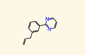 C=CCc1cccc(-c2ncccn2)c1